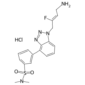 CN(C)S(=O)(=O)c1cccc(-c2cccc3c2nnn3C/C(F)=C/CN)c1.Cl